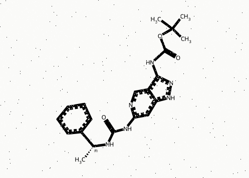 C[C@@H](NC(=O)Nc1cc2[nH]nc(NC(=O)OC(C)(C)C)c2cn1)c1ccccc1